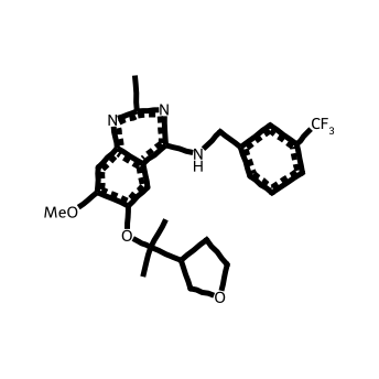 COc1cc2nc(C)nc(NCc3cccc(C(F)(F)F)c3)c2cc1OC(C)(C)C1CCOC1